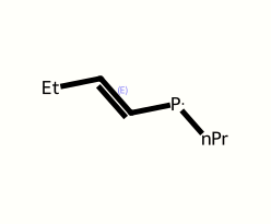 CC/C=C/[P]CCC